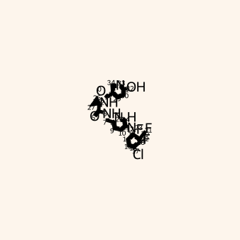 O=C(NC1(C(=O)NCc2ccc(Nc3ccc(Cl)cc3C(F)(F)F)cn2)CC1)c1ccc(O)nc1